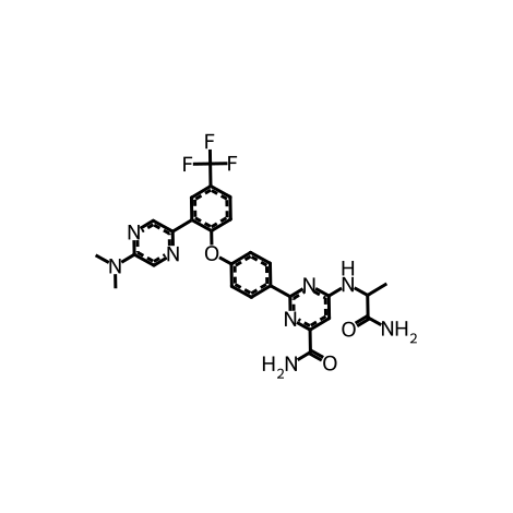 CC(Nc1cc(C(N)=O)nc(-c2ccc(Oc3ccc(C(F)(F)F)cc3-c3cnc(N(C)C)cn3)cc2)n1)C(N)=O